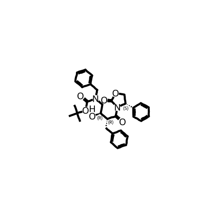 CC(C)(C)OC(=O)N(Cc1ccccc1)C[C@H](O)[C@@H](Cc1ccccc1)C(=O)N1C(=O)OC[C@@H]1c1ccccc1